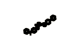 CC(OCCOC1CCC(c2ccccc2)CC1)Oc1ccc([I+]c2ccccc2)cc1